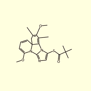 COC1=CC=CC23CC(C)=C(OC)C(C)=C2n2c(SC(=O)C(C)(C)C)cnc2N13